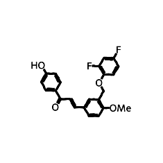 COc1ccc(C=CC(=O)c2ccc(O)cc2)cc1COc1ccc(F)cc1F